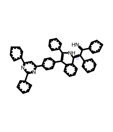 N=C(/C(=C1\NC(c2ccccc2)=C(c2ccc(-c3cc(-c4ccccc4)nc(-c4ccccc4)n3)cc2)c2ccccc21)c1ccccc1)c1ccccc1